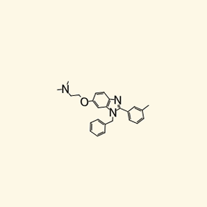 Cc1cccc(-c2nc3ccc(OCCN(C)C)cc3n2Cc2ccccc2)c1